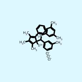 CC1=C(C)[C]([Ti+3])(C([SiH2]c2cc(C)cc(C)c2)c2cccc(C)c2)C(c2ccccc2)=C1C.[Cl-].[Cl-].[Cl-]